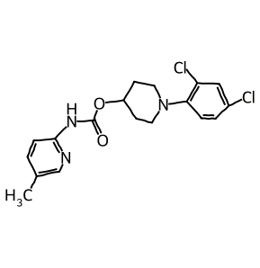 Cc1ccc(NC(=O)OC2CCN(c3ccc(Cl)cc3Cl)CC2)nc1